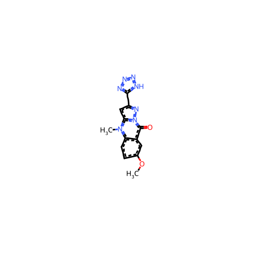 COc1ccc2c(c1)c(=O)n1nc(-c3nnn[nH]3)cc1n2C